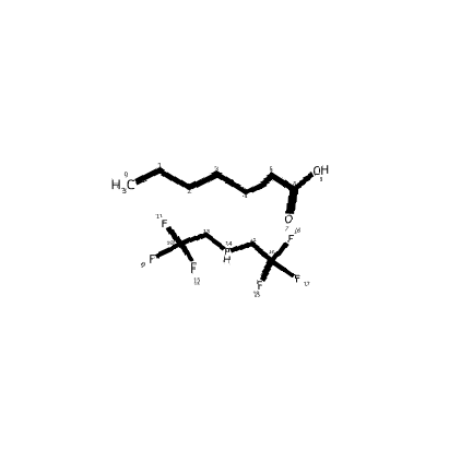 CCCCCCC(=O)O.FC(F)(F)CPCC(F)(F)F